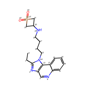 CCc1nc2cnc3ccccc3c2n1CCCCNC1CS(=O)(=O)C1